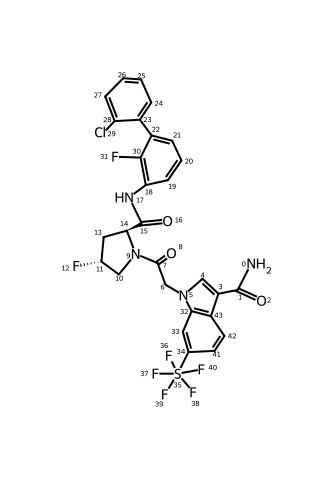 NC(=O)c1cn(CC(=O)N2C[C@H](F)C[C@H]2C(=O)Nc2cccc(-c3ccccc3Cl)c2F)c2cc(S(F)(F)(F)(F)F)ccc12